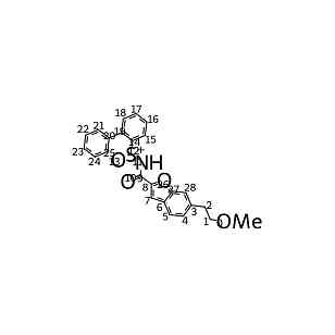 COCCc1ccc2cc(C(=O)N[S+]([O-])c3ccccc3-c3ccccc3)oc2c1